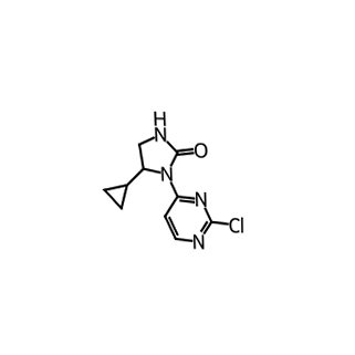 O=C1NCC(C2CC2)N1c1ccnc(Cl)n1